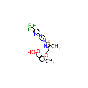 Cc1ccc(CC(=O)O)cc1OCCc1nc(N2CCN(c3ccc(C(F)(F)F)cn3)CC2)sc1C